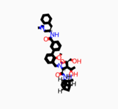 COc1c(CN2O[C@@H](CO)C(C(C)O)[C@H]2C(=O)N[C@H]2C[C@H]3C[C@@H]([C@@H]2C)C3(C)C)cccc1-c1cccc(C(=O)N[C@H](CC2CCCCC2)CN(C)C)c1